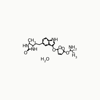 CC(N)OC(=O)/C=C\C(=O)Oc1c[nH]c2ccc(CCC3NC(=O)NC3C)cc12.O